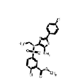 CCN(c1nc(-c2ccc(Cl)cc2)sc1C)S(=O)(=O)c1ccc(Cl)c(C(=O)OC)c1